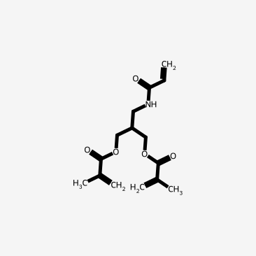 C=CC(=O)NCC(COC(=O)C(=C)C)COC(=O)C(=C)C